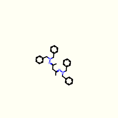 C/C(C/C(C)=N/N(Cc1ccccc1)Cc1ccccc1)=N\N(Cc1ccccc1)Cc1ccccc1